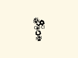 O=C(OC(Cn1ncnn1)c1ccccc1Cl)N1CCC(n2nccn2)CC1